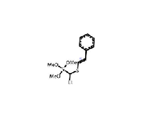 CCC(S/C=C/c1ccccc1)[Si](OC)(OC)OC